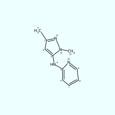 Cc1cc(Nc2ccccn2)n(C)n1